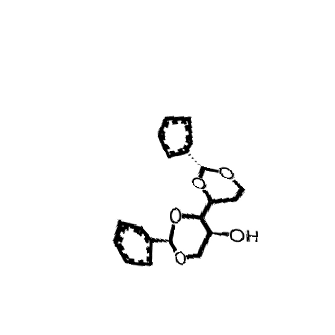 O[C@H]1CO[C@@H](c2ccccc2)OC1C1CCO[C@@H](c2ccccc2)O1